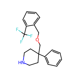 FC(F)(F)c1ccccc1COCC1(c2ccccc2)CCNCC1